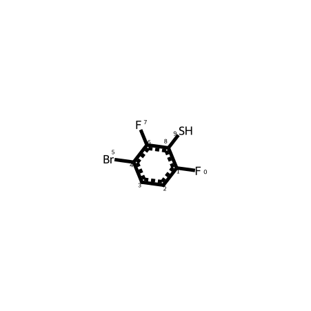 Fc1ccc(Br)c(F)c1S